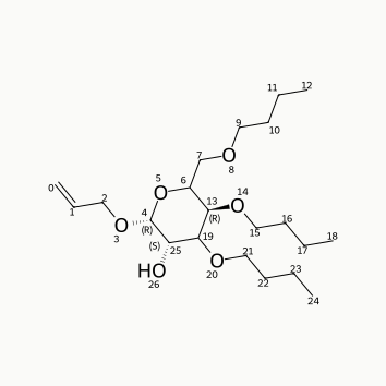 C=CCO[C@@H]1OC(COCCCC)[C@@H](OCCCC)C(OCCCC)[C@@H]1O